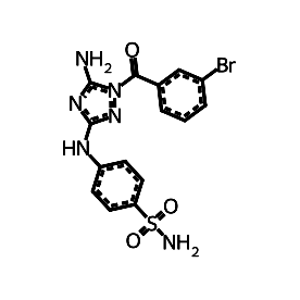 Nc1nc(Nc2ccc(S(N)(=O)=O)cc2)nn1C(=O)c1cccc(Br)c1